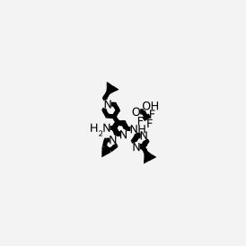 Nc1c(C2CCN(CC3CC3)CC2)cc(Nc2cnc(C3CC3)cn2)nc1N1CC2CC2C1.O=C(O)C(F)(F)F